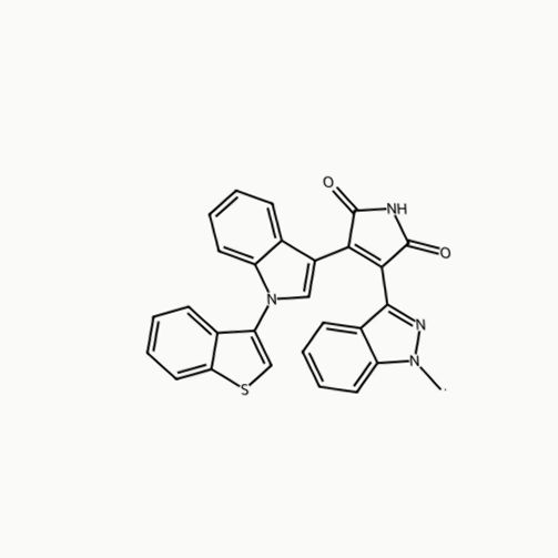 [CH2]n1nc(C2=C(c3cn(-c4csc5ccccc45)c4ccccc34)C(=O)NC2=O)c2ccccc21